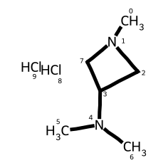 CN1CC(N(C)C)C1.Cl.Cl